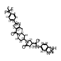 Cc1nc(-c2ccc(C(C)(F)F)cc2)sc1C(=O)N1CCC(N2CC(C(=O)Nc3ccc4[nH]nnc4c3)CC2=O)CC1